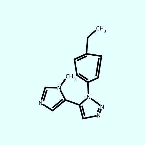 CCc1ccc(-n2nncc2-c2cncn2C)cc1